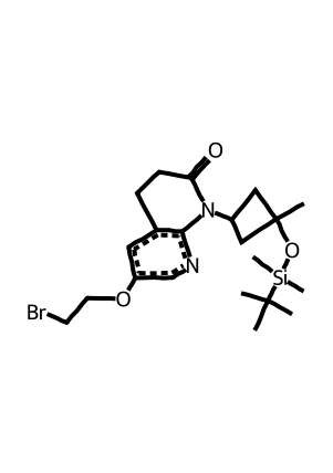 CC1(O[Si](C)(C)C(C)(C)C)CC(N2C(=O)CCc3cc(OCCBr)cnc32)C1